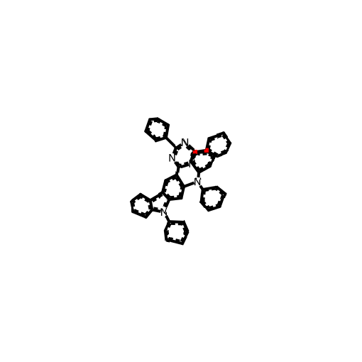 c1ccc(-c2nc(-c3ccccc3)nc(-c3cc4c5ccccc5n(-c5ccccc5)c4cc3N(c3ccccc3)c3ccccc3)n2)cc1